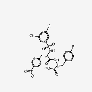 O=C(O)[C@H](Cc1ccc(F)cc1)NC(=O)[C@H](Cc1ccc([N+](=O)[O-])cc1)NS(=O)(=O)c1cc(Cl)cc(Cl)c1